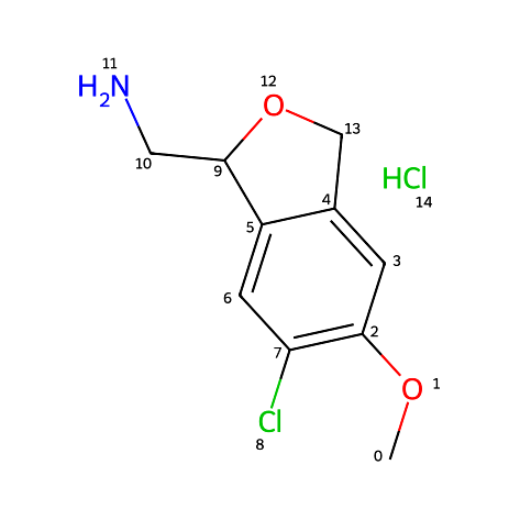 COc1cc2c(cc1Cl)C(CN)OC2.Cl